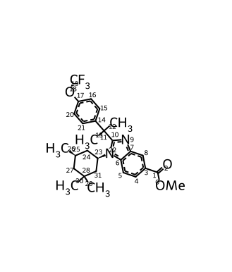 COC(=O)c1ccc2c(c1)nc(C(C)(C)c1ccc(OC(F)(F)F)cc1)n2[C@@H]1C[C@H](C)CC(C)(C)C1